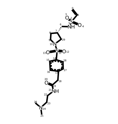 C=CS(=O)(=O)NC[C@H]1CCN(S(=O)(=O)c2ccc(CC(=O)NCCN(C)C)cc2)C1